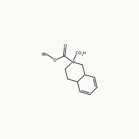 CC(C)(C)OC(=O)[N+]1(C(=O)O)CCC2C=CC=CC2C1